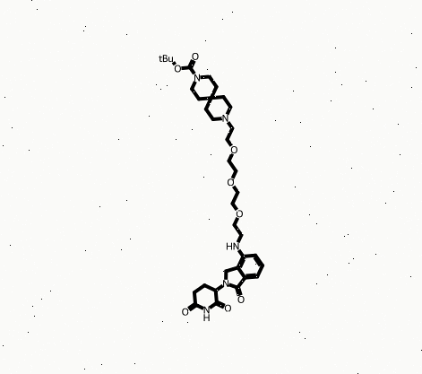 CC(C)(C)OC(=O)N1CCC2(CCN(CCOCCOCCOCCNc3cccc4c3CN(C3CCC(=O)NC3=O)C4=O)CC2)CC1